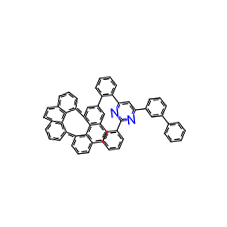 c1ccc(-c2cccc(-c3cc(-c4ccccc4-c4cc5ccc6cccc7c8cccc9ccc%10cccc(c(c4)c5c67)c%10c98)nc(-c4ccccc4)n3)c2)cc1